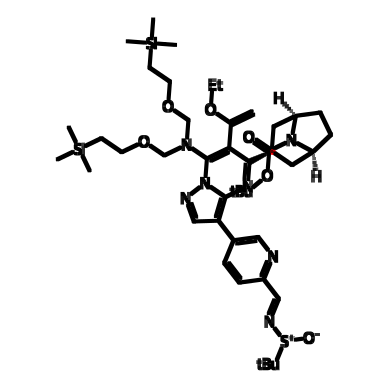 C=C(OCC)c1c([C@H]2C[C@H]3CC[C@@H](C2)N3C(=O)OC(C)(C)C)nc2c(-c3ccc(/C=N/[S+]([O-])C(C)(C)C)nc3)cnn2c1N(COCC[Si](C)(C)C)COCC[Si](C)(C)C